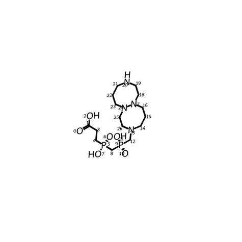 O=C(O)CCP(=O)(O)CP(=O)(O)CN1CCCN2CCNCCCN2CC1